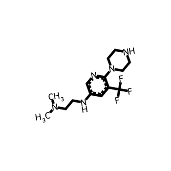 CN(C)CCNc1cnc(N2CCNCC2)c(C(F)(F)F)c1